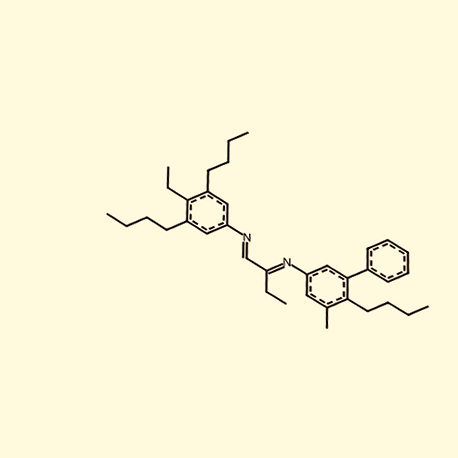 CCCCc1cc(N=CC(CC)=Nc2cc(C)c(CCCC)c(-c3ccccc3)c2)cc(CCCC)c1CC